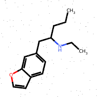 CCCC(Cc1ccc2ccoc2c1)NCC